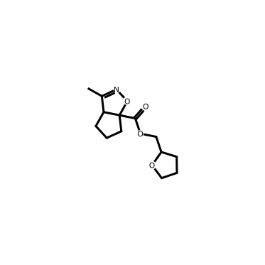 CC1=NOC2(C(=O)OCC3CCCO3)CCCC12